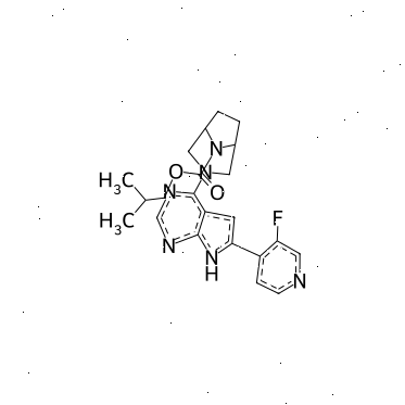 CC(C)COC(=O)N1C2CCC1CN(c1ncnc3[nH]c(-c4ccncc4F)cc13)C2